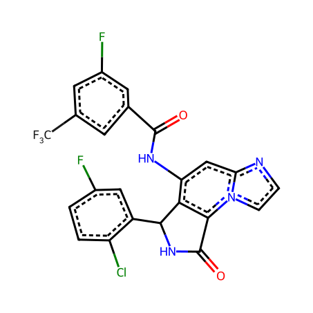 O=C(Nc1cc2nccn2c2c1C(c1cc(F)ccc1Cl)NC2=O)c1cc(F)cc(C(F)(F)F)c1